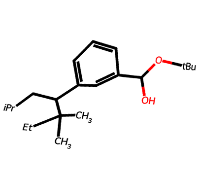 CCC(C)(C)C(CC(C)C)c1cccc(C(O)OC(C)(C)C)c1